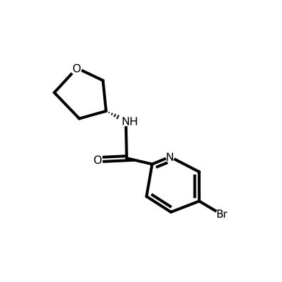 O=C(N[C@@H]1CCOC1)c1ccc(Br)cn1